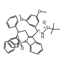 COc1cc(OC)cc([C@H](N[S@+]([O-])C(C)(C)C)c2c(CP(c3ccccc3)c3ccccc3)n(S(=O)(=O)c3ccccc3)c3ccccc23)c1